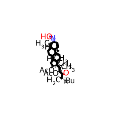 C=C(C(=O)[C@H](OC(C)=O)[C@@H](C)[C@H]1[C@@H](OC(C)=O)C[C@@]2(C)[C@@H]3CC[C@H]4[C@H](C)/C(=N\O)C=C[C@@]45C[C@@]35CC[C@]12C)[C@@H](C)CC